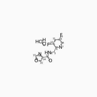 Cl.Cl.O=C(NCc1ncc(F)cc1F)c1cocn1